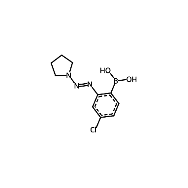 OB(O)c1ccc(Cl)cc1N=NN1CCCC1